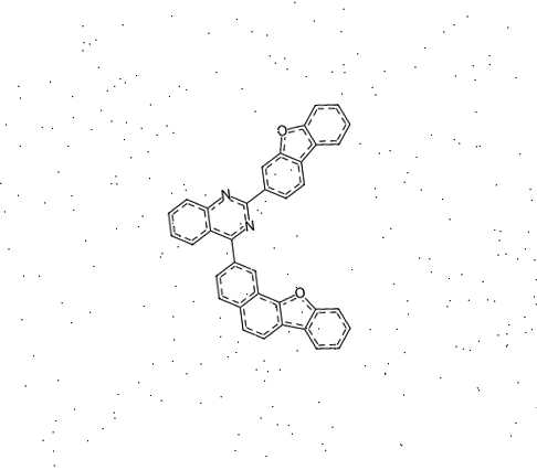 c1ccc2c(-c3ccc4ccc5c6ccccc6oc5c4c3)nc(-c3ccc4c(c3)oc3ccccc34)nc2c1